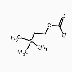 CS(C)(C)CCOC(=O)Cl